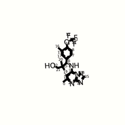 Cc1cc(N[C@@H](c2ccc(OC(F)(F)F)c(C)c2)C(C)(C)CO)n2ncnc2n1